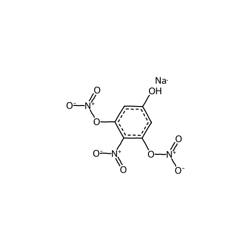 O=[N+]([O-])Oc1cc(O)cc(O[N+](=O)[O-])c1[N+](=O)[O-].[Na]